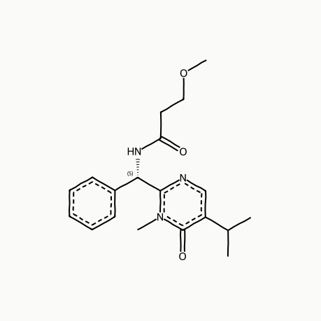 COCCC(=O)N[C@@H](c1ccccc1)c1ncc(C(C)C)c(=O)n1C